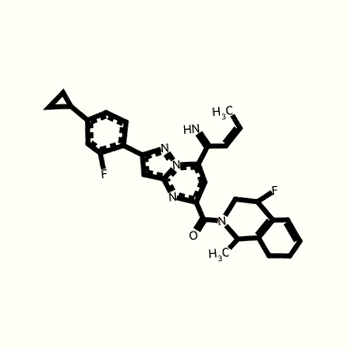 C/C=C\C(=N)c1cc(C(=O)N2CC(F)C3=C(CCC=C3)C2C)nc2cc(-c3ccc(C4CC4)cc3F)nn12